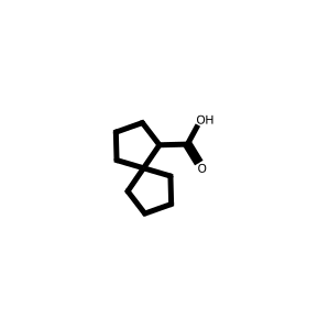 O=C(O)C1CCCC12CCCC2